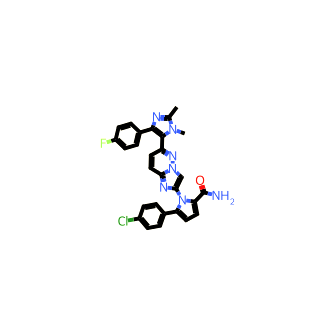 Cc1nc(-c2ccc(F)cc2)c(-c2ccc3nc(-n4c(C(N)=O)ccc4-c4ccc(Cl)cc4)cn3n2)n1C